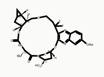 COc1ccc2nc3c(nc2c1)O[C@@H]1C[C@@H](C(=O)O)N(C1)C(=O)[C@H](C(C)(C)C)NC(=O)O[C@@H]1CC2C[C@@H]2[C@H]1CCCCC3(F)F